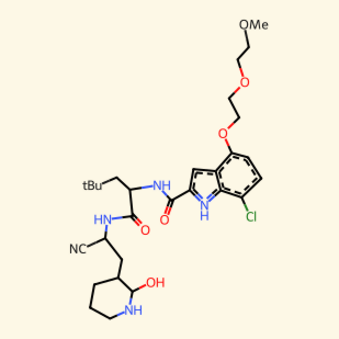 COCCOCCOc1ccc(Cl)c2[nH]c(C(=O)NC(CC(C)(C)C)C(=O)NC(C#N)CC3CCCNC3O)cc12